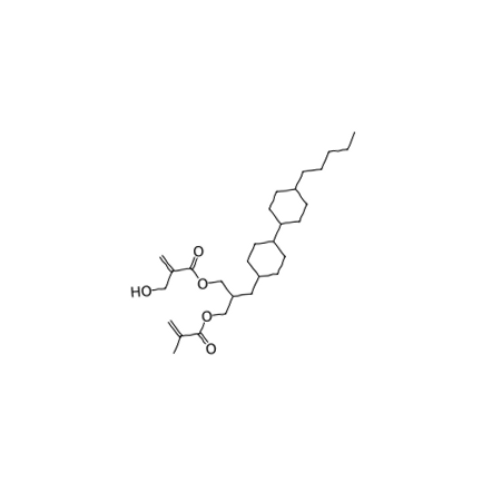 C=C(C)C(=O)OCC(COC(=O)C(=C)CO)CC1CCC(C2CCC(CCCCC)CC2)CC1